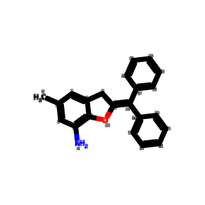 Cc1cc(N)c2c(c1)CC(=C(c1ccccc1)c1ccccc1)O2